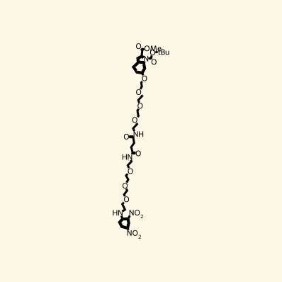 COC(=O)c1cc2ccc(OCCOCCOCCOCCNC(=O)CCC(=O)NCCOCCOCCOCCNc3ccc([N+](=O)[O-])cc3[N+](=O)[O-])cc2n1C(=O)OC(C)(C)C